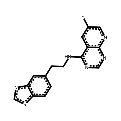 Fc1cnc2ncnc(NCCc3ccc4scnc4c3)c2c1